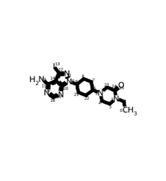 CCN1CCN(C2CCC(n3nc(I)c4c(N)ncnc43)CC2)CC1=O